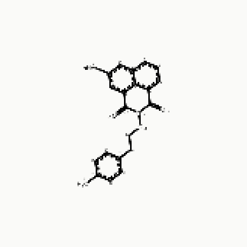 CCCCCCc1cc2c3c(cccc3c1)C(=O)N(OCCc1ccc(C)cc1)C2=O